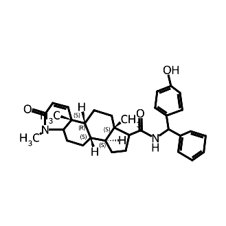 CN1C(=O)C=C[C@@]2(C)C1CC[C@@H]1[C@H]2CC[C@]2(C)C(C(=O)NC(c3ccccc3)c3ccc(O)cc3)CC[C@@H]12